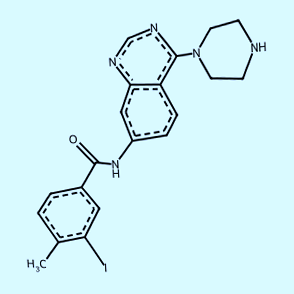 Cc1ccc(C(=O)Nc2ccc3c(N4CCNCC4)ncnc3c2)cc1I